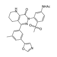 CC(=O)Nc1ccc(S(C)(=O)=O)c(-n2nc(-c3cc(C)cc(-c4cnco4)c3)c3c(c2=O)NCCC3)c1